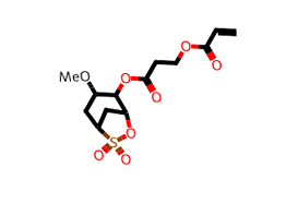 C=CC(=O)OCCC(=O)OC1C(OC)CC2CC1OS2(=O)=O